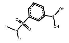 CCN(CC)S(=O)(=O)c1cccc(B(O)O)c1